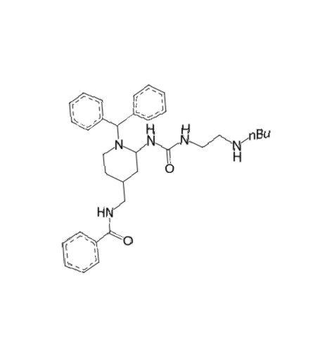 CCCCNCCNC(=O)NC1CC(CNC(=O)c2ccccc2)CCN1C(c1ccccc1)c1ccccc1